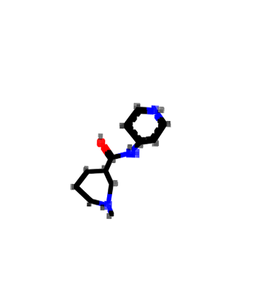 CN1CCCC(C(=O)Nc2[c]cncc2)C1